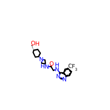 O=C(CNc1ncnc2ccc(C(F)(F)F)cc12)NC1CN([C@H]2CC[C@@H](CO)CC2)C1